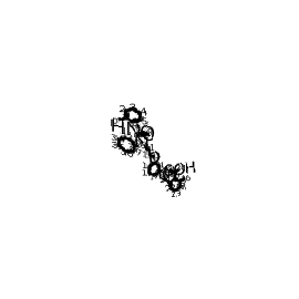 Cc1ccccc1NC(=O)N(CCO[C@H]1CCC[C@@H](OCc2cccc(C)c2C(=O)O)C1)C1CCCCC1